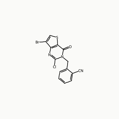 N#Cc1ccccc1Cn1c(Cl)nc2c(Br)csc2c1=O